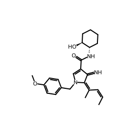 C/C=C\C(C)=C1/C(=N)C(C(=O)N[C@H]2CCCC[C@@H]2O)=CN1Cc1ccc(OC)cc1